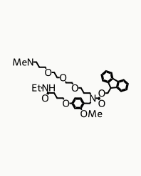 CCNC(=O)CCCOc1ccc(CN(CCCOCCOCCOCCCNC)C(=O)OCC2c3ccccc3-c3ccccc32)c(OC)c1